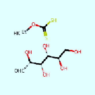 CCOC(=S)S.O=C[C@H](O)[C@@H](O)[C@H](O)[C@H](O)CO.[KH]